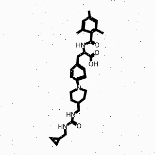 Cc1cc(C)c(C(=O)NC(Cc2ccc(N3CCC(CNC(=O)NCC4CC4)CC3)cc2)C(=O)O)c(C)c1